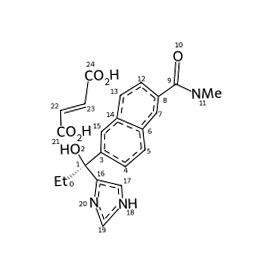 CC[C@](O)(c1ccc2cc(C(=O)NC)ccc2c1)c1c[nH]cn1.O=C(O)/C=C/C(=O)O